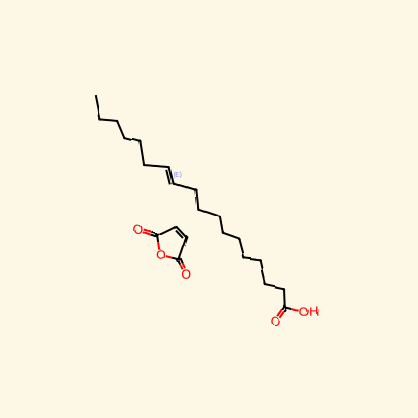 CCCCCC/C=C/CCCCCCCCCC(=O)O.O=C1C=CC(=O)O1